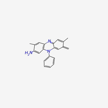 C=c1cc2c(cc1C)=Nc1cc(C)c(N)cc1N2c1ccccc1